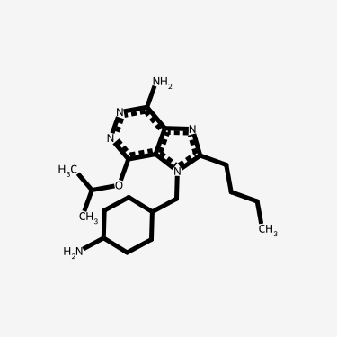 CCCCc1nc2c(N)nnc(OC(C)C)c2n1CC1CCC(N)CC1